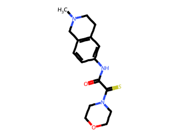 CN1CCc2cc(NC(=O)C(=S)N3CCOCC3)ccc2C1